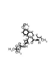 C#CC(=O)N1[C@@H](CCCC)Cc2cc(OC)ccc2[C@@H]1C12CC(NC(=O)OC(C)(C)C)(C1)C2